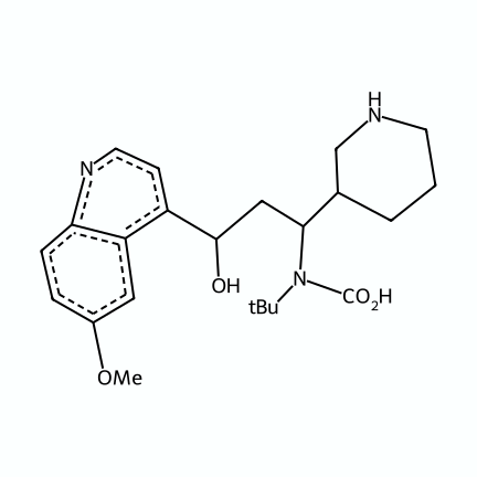 COc1ccc2nccc(C(O)CC(C3CCCNC3)N(C(=O)O)C(C)(C)C)c2c1